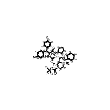 COC(=O)NC(C(=O)N[C@H]1CCC[C@@H]1CC[C@H]1CN(C(=O)OC(C)(C)C)CCN1S(=O)(=O)c1ccccc1)C(c1ccc(F)cc1)c1ccc(F)cc1